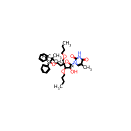 CCCCOC[C@@]1(CCO[Si](c2ccccc2)(c2ccccc2)C(C)(C)C)O[C@@H](n2cc(C)c(=O)[nH]c2=O)[C@@H](O)C1OCCCC